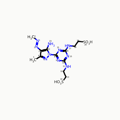 CN=Nc1c(C)nn(-c2nc(NCCS(=O)(=O)O)nc(NCCS(=O)(=O)O)n2)c1N